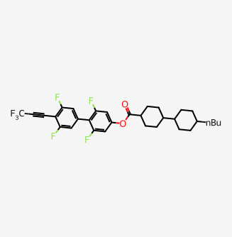 CCCCC1CCC(C2CCC(C(=O)Oc3cc(F)c(-c4cc(F)c(C#CC(F)(F)F)c(F)c4)c(F)c3)CC2)CC1